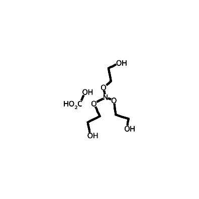 O=C(O)O.OCCON(OCCO)OCCO